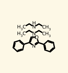 CCNCC.CCNCC.c1ccc(-c2coc(-c3ccccc3)n2)cc1